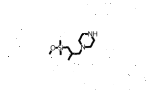 CO[Si](C)(C)CC(C)CN1CCNCC1